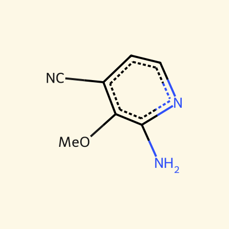 COc1c(C#N)ccnc1N